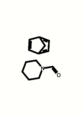 C1=CC2=CC=C1C2.O=CN1CCCCC1